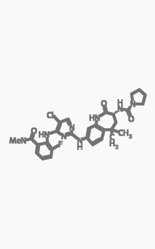 CNC(=O)c1cccc(F)c1Nc1nc(Nc2ccc3c(c2)NC(=O)[C@H](NC(=O)N2CCCC2)CC3(C)C)ncc1Cl